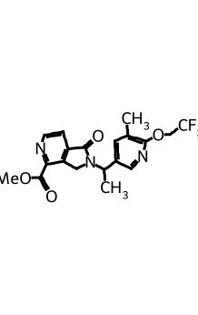 COC(=O)c1nccc2c1CN(C(C)c1cnc(OCC(F)(F)F)c(C)c1)C2=O